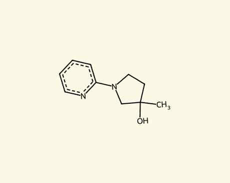 CC1(O)CCN(c2ccccn2)C1